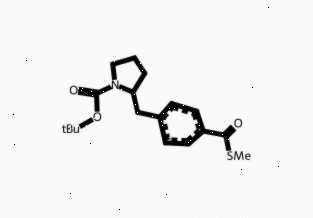 CSC(=O)c1ccc(CC2CCCN2C(=O)OC(C)(C)C)cc1